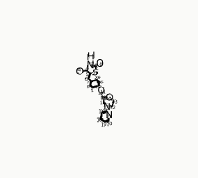 O=C1NC(=O)C(=Cc2ccc(OC[C@H]3CN(c4ccccn4)CCO3)cc2)S1